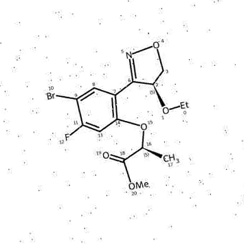 CCO[C@@H]1CON=C1c1cc(Br)c(F)cc1O[C@@H](C)C(=O)OC